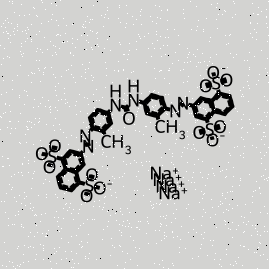 Cc1cc(NC(=O)Nc2ccc(/N=N/c3cc(S(=O)(=O)[O-])c4cccc(S(=O)(=O)[O-])c4c3)c(C)c2)ccc1/N=N/c1cc(S(=O)(=O)[O-])c2cccc(S(=O)(=O)[O-])c2c1.[Na+].[Na+].[Na+].[Na+]